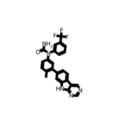 Cc1ccc(N(C(N)=O)c2cccc(C(F)(F)F)c2)cc1-c1ccc2c(c1)[nH]c1ncncc12